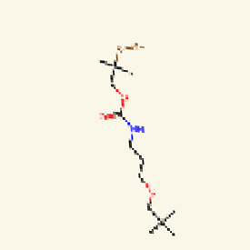 CC(C)(C)COCCCNC(=O)OCC(C)(C)SS